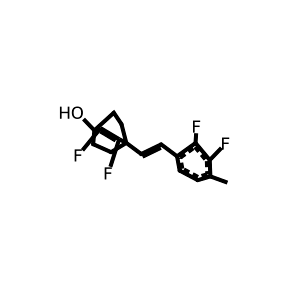 Cc1ccc(/C=C/C23CCC(O)(CC2)C(F)=C3F)c(F)c1F